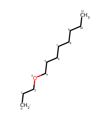 [CH2]CCOCCCCCCCC